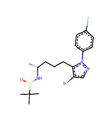 C[C@H](CCCc1c(Br)cnn1-c1ccc(F)cc1)N[S@+]([O-])C(C)(C)C